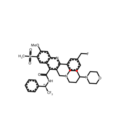 COc1cc2nc(-c3cccc(CF)c3)c(CN3CCC(N4CCOCC4)CC3)c(C(=O)N[C@H](c3ccccc3)C(F)(F)F)c2cc1S(C)(=O)=O